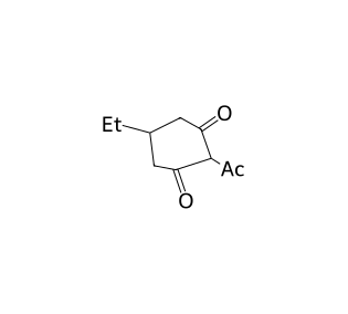 CCC1CC(=O)C(C(C)=O)C(=O)C1